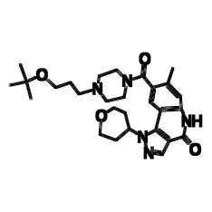 Cc1cc2[nH]c(=O)c3cnn(C4CCOCC4)c3c2cc1C(=O)N1CCN(CCCOC(C)(C)C)CC1